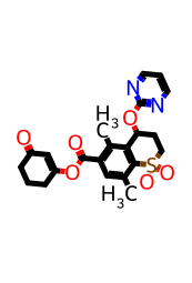 Cc1cc(C(=O)OC2=CC(=O)CCC2)c(C)c2c1S(=O)(=O)CCC2Oc1ncccn1